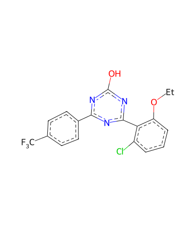 CCOc1cccc(Cl)c1-c1nc(O)nc(-c2ccc(C(F)(F)F)cc2)n1